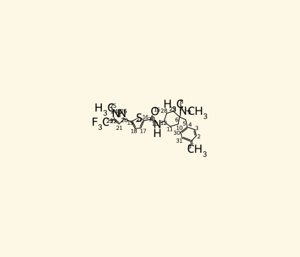 Cc1ccc(CC2(N(C)C)CCC(NC(=O)c3ccc(-c4cc(C(F)(F)F)n(C)n4)s3)CC2)cc1